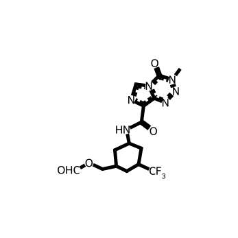 Cn1nnc2c(C(=O)NC3CC(COC=O)CC(C(F)(F)F)C3)ncn2c1=O